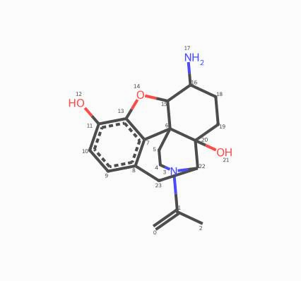 C=C(C)N1CCC23c4c5ccc(O)c4OC2C(N)CCC3(O)C1C5